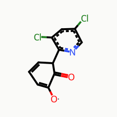 [O]C1=CC=CC(c2ncc(Cl)cc2Cl)C1=O